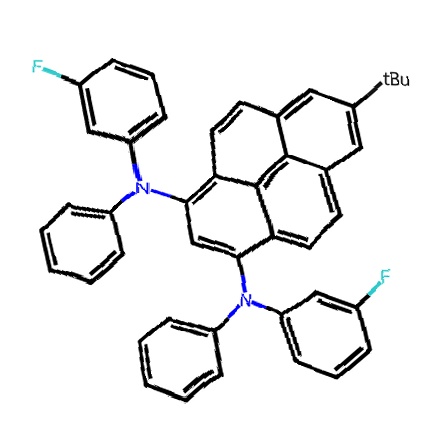 CC(C)(C)c1cc2ccc3c(N(c4ccccc4)c4cccc(F)c4)cc(N(c4ccccc4)c4cccc(F)c4)c4ccc(c1)c2c34